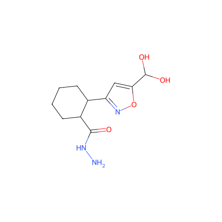 NNC(=O)C1CCCCC1c1cc(C(O)O)on1